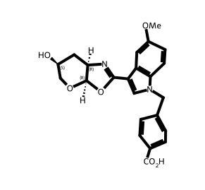 COc1ccc2c(c1)c(C1=N[C@@H]3C[C@H](O)CO[C@@H]3O1)cn2Cc1ccc(C(=O)O)cc1